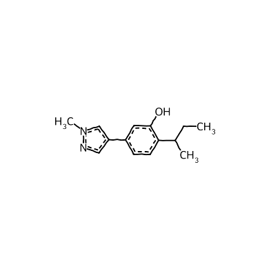 CCC(C)c1ccc(-c2cnn(C)c2)cc1O